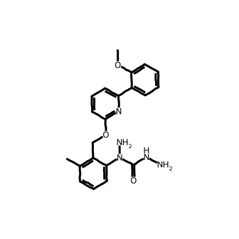 COc1ccccc1-c1cccc(OCc2c(C)cccc2N(N)C(=O)NN)n1